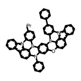 CC(C)c1ccc2c(c1)-n1c3ccccc3c3ccc4c(c31)B2c1cc2c(cc1N4c1ccccc1)Oc1ccc3c4ccccc4n4c3c1B2c1ccc(-c2ccccc2)cc1-4